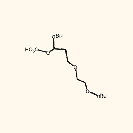 CCCCOCCOCCC(CCCC)OC(=O)O